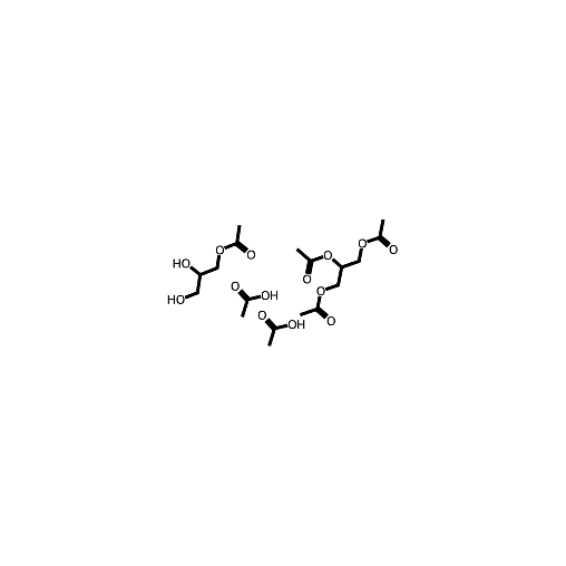 CC(=O)O.CC(=O)O.CC(=O)OCC(COC(C)=O)OC(C)=O.CC(=O)OCC(O)CO